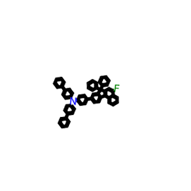 Fc1cc2c(c3ccccc13)-c1ccc(-c3ccc(N(c4ccc(-c5ccccc5)cc4)c4ccc(-c5ccccc5)cc4)cc3)cc1C2(c1ccccc1)c1ccccc1